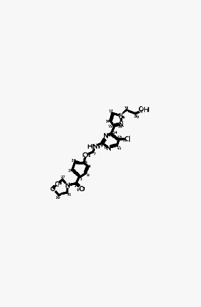 O=C(c1ccc(OCNc2ncc(Cl)c(-c3ccn(CCO)n3)n2)cc1)N1CCOCC1